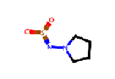 O=S(=O)=NN1CCCC1